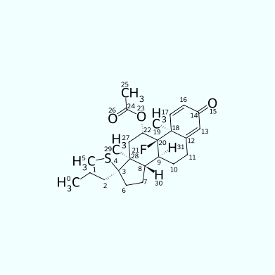 CCC[C@@]1(SC)CC[C@H]2[C@@H]3CCC4=CC(=O)C=C[C@]4(C)[C@@]3(F)[C@@H](OC(C)=O)C[C@@]21C